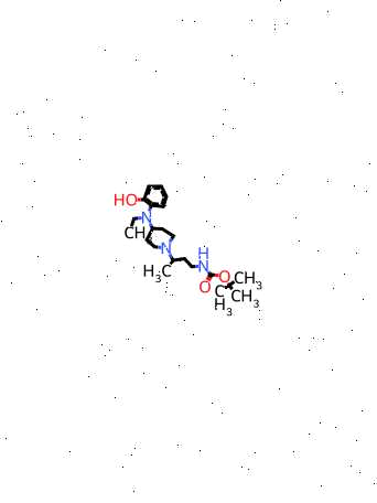 CCN(c1ccccc1O)C1CCN(C(C)CCNC(=O)OC(C)(C)C)CC1